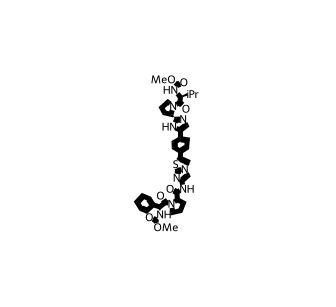 COC(=O)N[C@H](C(=O)N1CCC[C@H]1c1ncc(-c2ccc(-c3cn4cc(NC(=O)C5CCCN5C(=O)[C@H](NC(=O)OC)c5ccccc5)nc4s3)cc2)[nH]1)C(C)C